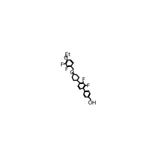 CCOc1ccc(COC2CCC(c3ccc(-c4ccc(CO)cc4)c(F)c3F)CC2)c(F)c1F